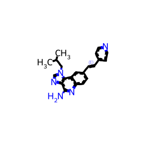 CC(C)Cn1cnc2c(N)nc3ccc(/C=C/c4ccncc4)cc3c21